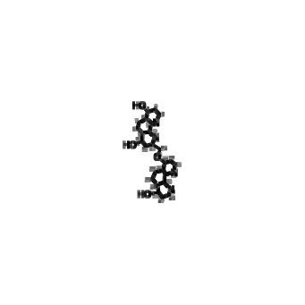 Oc1ccnc2c1ccc1c(O)cc(COc3ccnc4c3ccc3c(O)ccnc34)nc12